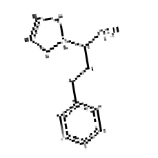 O=C(O)C(CCc1ccccc1)N1CC=CC1